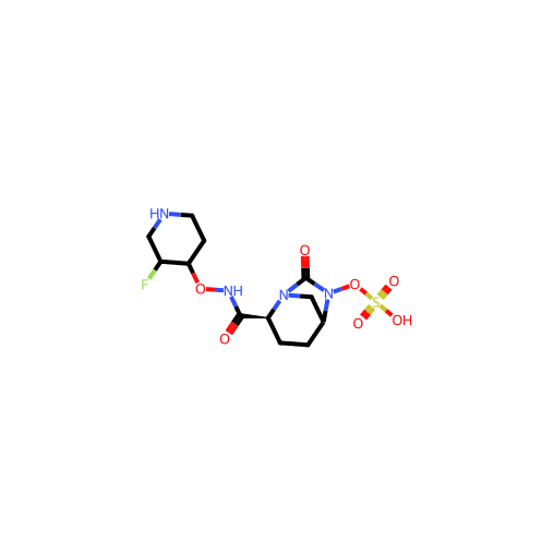 O=C(NOC1CCNCC1F)[C@@H]1CCC2CN1C(=O)N2OS(=O)(=O)O